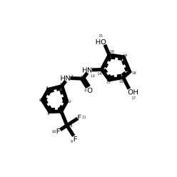 O=C(Nc1cccc(C(F)(F)F)c1)Nc1cc(O)ccc1O